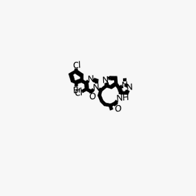 CC1CCCC(n2cnc(-c3cc(Cl)ccc3Br)c(Cl)c2=O)c2cc(ccn2)-c2c(cnn2C)NC1=O